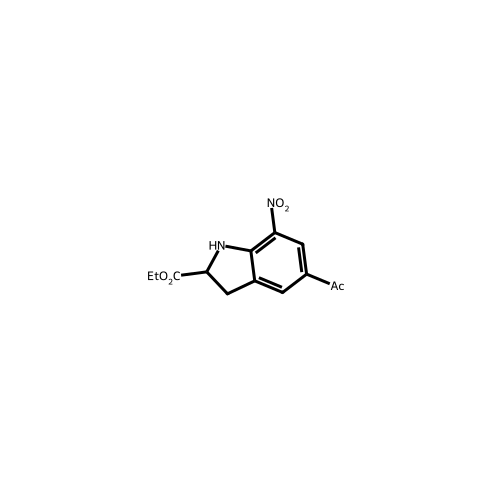 CCOC(=O)C1Cc2cc(C(C)=O)cc([N+](=O)[O-])c2N1